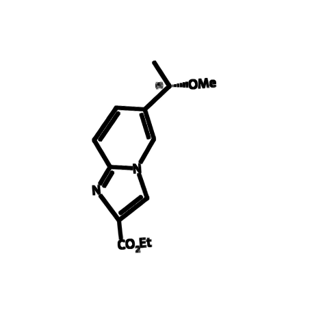 CCOC(=O)c1cn2cc([C@H](C)OC)ccc2n1